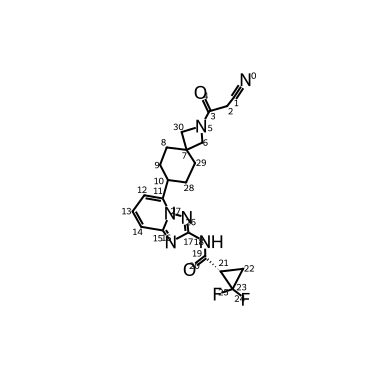 N#CCC(=O)N1CC2(CCC(c3cccc4nc(NC(=O)[C@@H]5CC5(F)F)nn34)CC2)C1